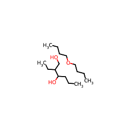 CCCC(O)C(CC)CO.CCCCOCCCC